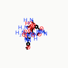 Cc1nc(-c2ccc(OC(C)C)cc2)nc(C)c1C(=O)NC(CNS(N)(=O)=O)C(=O)N(C)C1C(=O)NC(C)C(=O)NC(C(=O)NCC#N)Cc2ccc(OCC(O)CN)c(c2)-c2cc1ccc2OCC(O)CN